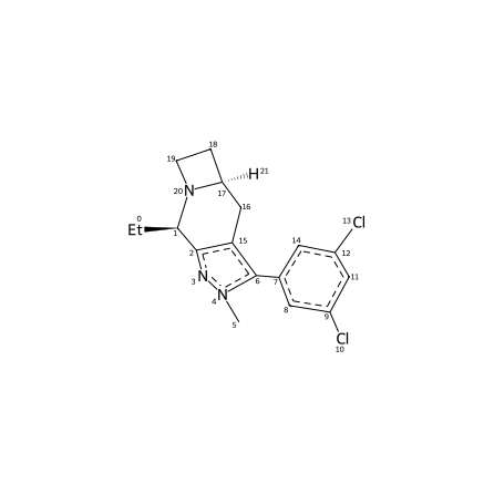 CC[C@@H]1c2nn(C)c(-c3cc(Cl)cc(Cl)c3)c2C[C@@H]2CCN21